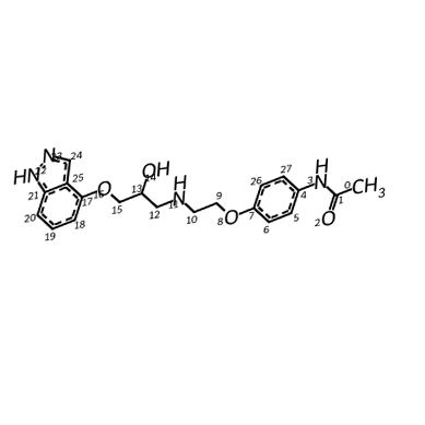 CC(=O)Nc1ccc(OCCNCC(O)COc2cccc3[nH]ncc23)cc1